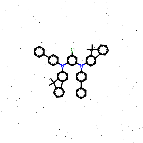 CC1(C)c2ccccc2-c2ccc(N(c3ccc(-c4ccccc4)cc3)c3cc(Cl)cc(N(c4ccc(-c5ccccc5)cc4)c4ccc5c(c4)C(C)(C)c4ccccc4-5)c3)cc21